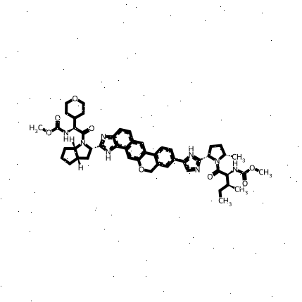 CC[C@H](C)[C@H](NC(=O)OC)C(=O)N1[C@@H](C)CC[C@H]1c1ncc(-c2ccc3c(c2)COc2cc4c(ccc5nc([C@@H]6C[C@@H]7CCC[C@@H]7N6C(=O)[C@@H](NC(=O)OC)C6CCOCC6)[nH]c54)cc2-3)[nH]1